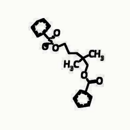 CC(C)(CCCOS(=O)(=O)c1ccccc1)COC(=O)c1ccccc1